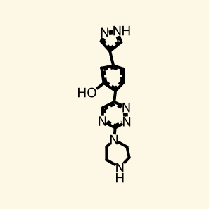 Oc1cc(-c2cn[nH]c2)ccc1-c1cnc(N2CCNCC2)nn1